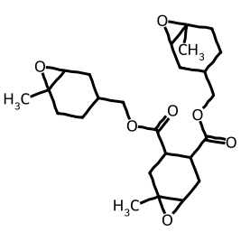 CC12CCC(COC(=O)C3CC4OC4(C)CC3C(=O)OCC3CCC4(C)OC4C3)CC1O2